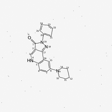 O=c1c2c[nH]c3ccc(N4CCCCC4)cc3c-2nn1-c1ccccc1